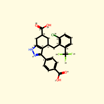 O=C(O)c1ccc(-c2n[nH]c3c2C(Cc2c(Cl)cccc2C(F)(F)F)CC(C(=O)O)C3)cc1